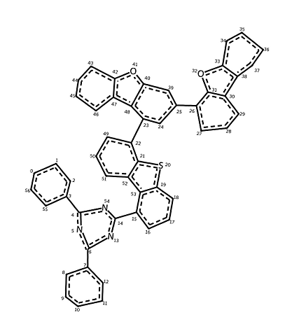 c1ccc(-c2nc(-c3ccccc3)nc(-c3cccc4sc5c(-c6cc(-c7cccc8c7oc7ccccc78)cc7oc8ccccc8c67)cccc5c34)n2)cc1